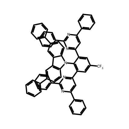 FC(F)(F)c1cc(-c2cc(-c3ccccc3)nc(-c3ccccc3)n2)c(-n2c3ccc(-c4ccccc4)cc3c3cc(-c4ccccc4)ccc32)c(-c2cc(-c3ccccc3)nc(-c3ccccc3)n2)c1